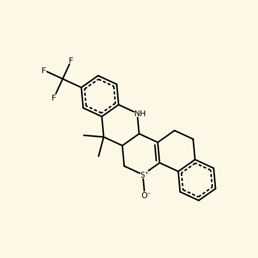 CC1(C)c2cc(C(F)(F)F)ccc2NC2C3=C(c4ccccc4CC3)[S+]([O-])CC21